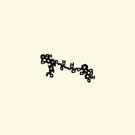 C=CC(=O)N1C[C@H](C)N(c2nc(OCCC(=O)NCCCNC(=O)COc3cccc4c3C(=O)N(C3CCC(=O)NC3=O)C4=O)nc3c(F)c(-c4c(O)cccc4F)c(Cl)cc23)C[C@H]1C